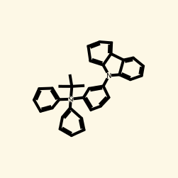 CC(C)(C)[Si](c1ccccc1)(c1ccccc1)c1cccc(-n2c3ccccc3c3ccccc32)c1